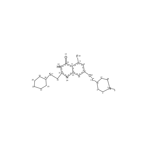 CN1CCC(COc2cc(F)c3c(=O)[nH]c(CSC4CCCCC4)nc3c2)CC1